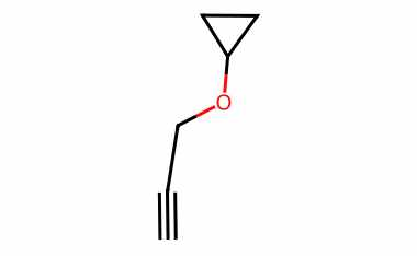 C#CCOC1CC1